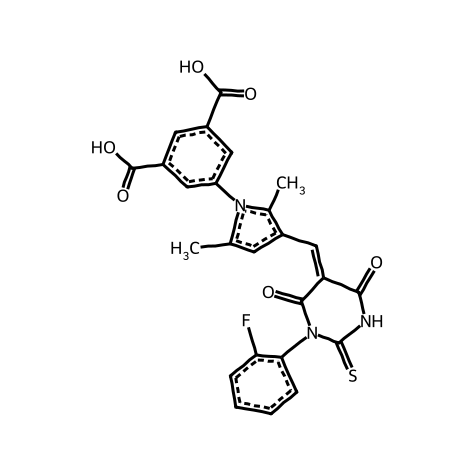 Cc1cc(C=C2C(=O)NC(=S)N(c3ccccc3F)C2=O)c(C)n1-c1cc(C(=O)O)cc(C(=O)O)c1